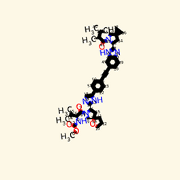 COC(=O)N[C@H](C(=O)N1C[C@]2(CCCO2)C[C@H]1c1ncc(-c2ccc(C#Cc3ccc4nc([C@@H]5CC6(CC6)CN5C(=O)[C@@H](C)C(C)C)[nH]c4c3)cc2)[nH]1)C(C)C